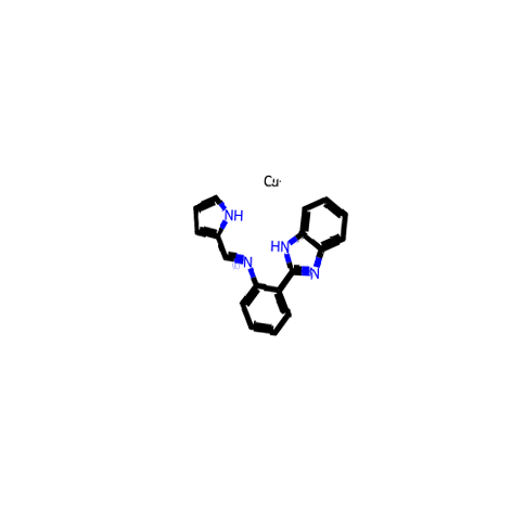 C(=N\c1ccccc1-c1nc2ccccc2[nH]1)/c1ccc[nH]1.[Cu]